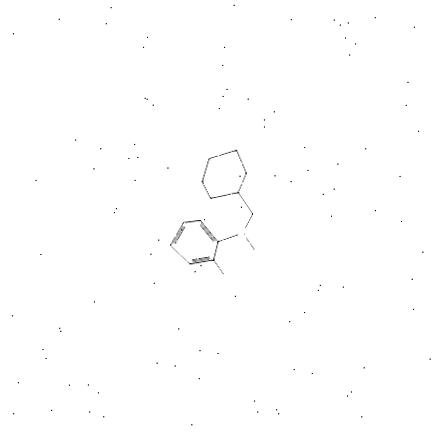 CCN(CC1CCCCC1)c1ccccc1O